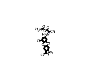 CCc1n[nH]c2ccc(Oc3c(Cl)cc(N/N=C(/C#N)C(=O)OC(N)=O)cc3Cl)cc12